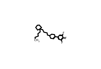 CCCCCC1(CCCCC2CC=C(c3cc(F)c(F)c(F)c3)CC2)CCCCC1